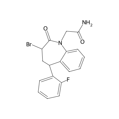 NC(=O)CN1C(=O)C(Br)CC(c2ccccc2F)c2ccccc21